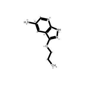 CCCOc1n[nH]c2ncc(N)cc12